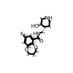 O=C(NC[C@H]1CCNC[C@H]1O)c1cc(F)cc2c1OCCCO2